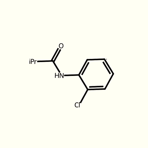 CC(C)C(=O)Nc1c[c]ccc1Cl